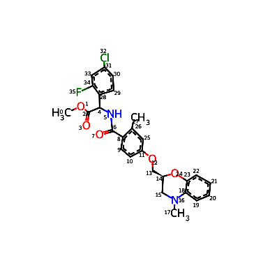 COC(=O)C(NC(=O)c1ccc(OC[C@@H]2CN(C)c3ccccc3O2)cc1C)c1ccc(Cl)cc1F